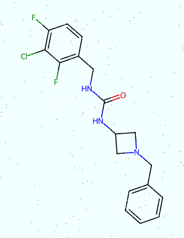 O=C(NCc1ccc(F)c(Cl)c1F)NC1CN(Cc2ccccc2)C1